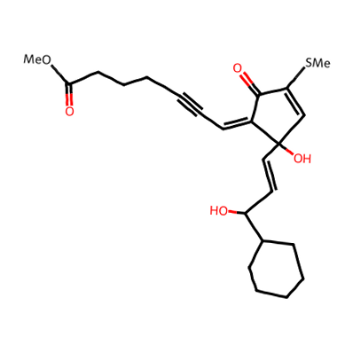 COC(=O)CCCC#C/C=C1\C(=O)C(SC)=CC1(O)/C=C/C(O)C1CCCCC1